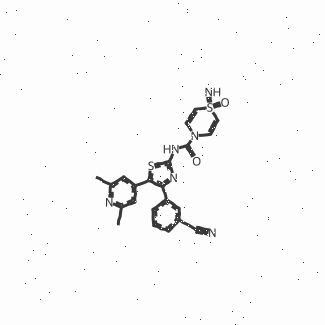 Cc1cc(-c2sc(NC(=O)N3C=CS(=N)(=O)C=C3)nc2-c2cccc(C#N)c2)cc(C)n1